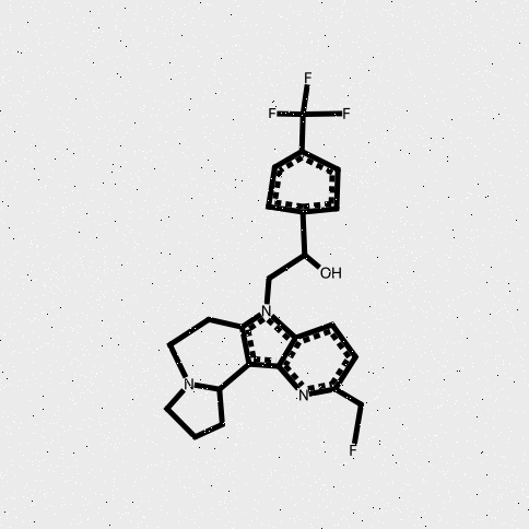 OC(Cn1c2c(c3nc(CF)ccc31)C1CCCN1CC2)c1ccc(C(F)(F)F)cc1